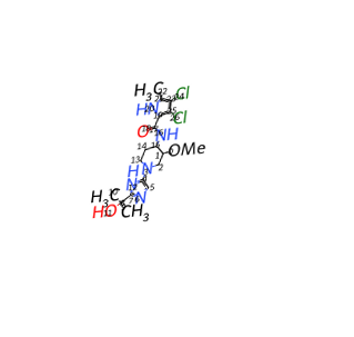 CO[C@H]1CN(c2cnc(C(C)(C)O)[nH]2)CCC1NC(=O)c1[nH]c(C)c(Cl)c1Cl